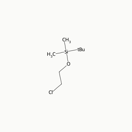 CC(C)(C)[Si](C)(C)OCCCl